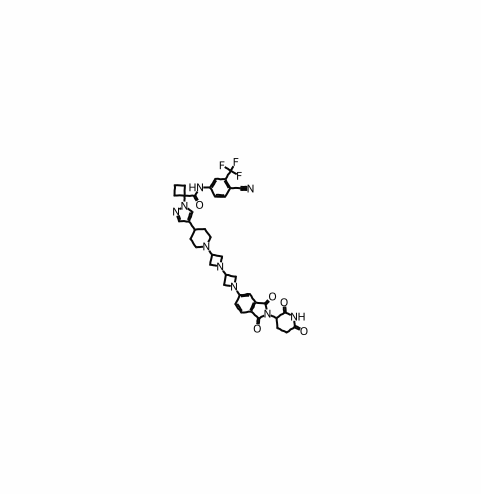 N#Cc1ccc(NC(=O)C2(n3cc(C4CCN(C5CN(C6CN(c7ccc8c(c7)C(=O)N(C7CCC(=O)NC7=O)C8=O)C6)C5)CC4)cn3)CCC2)cc1C(F)(F)F